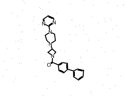 O=C(c1ccc(-c2ccccc2)cc1)N1CC(N2CCN(c3ncccn3)CC2)C1